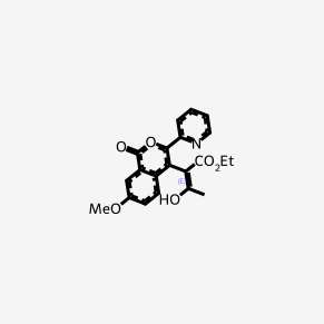 CCOC(=O)/C(=C(\C)O)c1c(-c2ccccn2)oc(=O)c2cc(OC)ccc12